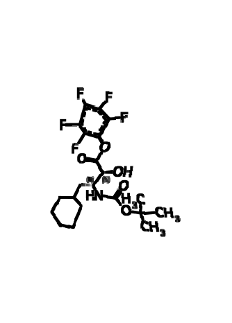 CC(C)(C)OC(=O)N[C@H](CC1CCCCC1)[C@H](O)C(=O)Oc1c(F)c(F)c(F)c(F)c1F